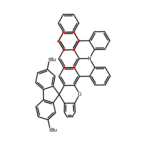 CC(C)(C)c1ccc2c(c1)C1(c3ccccc3Oc3c(-c4ccccc4N(c4ccccc4-c4cccc5ccccc45)c4cccc5ccccc45)cccc31)c1cc(C(C)(C)C)ccc1-2